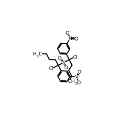 CCCCC(Cl)(c1cccc([N+](=O)[O-])c1)S(=O)(=O)C(Cl)(CCCC)c1cccc([N+](=O)[O-])c1